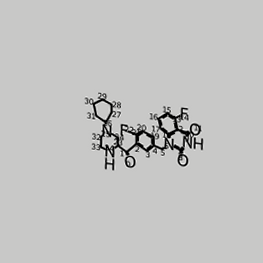 O=C(c1cc(Cn2c(=O)[nH]c(=O)c3c(F)cccc32)ccc1F)C1CN(C2CCCCC2)CCN1